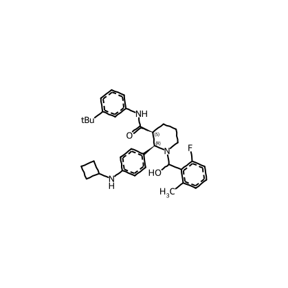 Cc1cccc(F)c1C(O)N1CCC[C@H](C(=O)Nc2cccc(C(C)(C)C)c2)[C@@H]1c1ccc(NC2CCC2)cc1